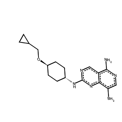 Bc1cnc(N)c2cnc(N[C@H]3CC[C@H](OCC4CC4)CC3)nc12